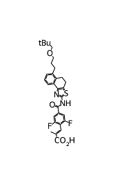 CC(=Cc1c(F)cc(C(=O)Nc2nc3c(s2)CCc2c(CCCOCC(C)(C)C)cccc2-3)cc1F)C(=O)O